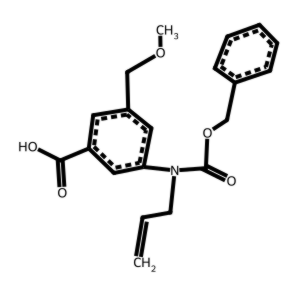 C=CCN(C(=O)OCc1ccccc1)c1cc(COC)cc(C(=O)O)c1